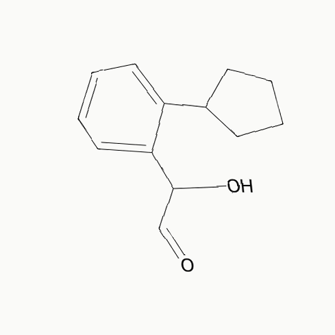 O=CC(O)c1ccccc1C1CCCC1